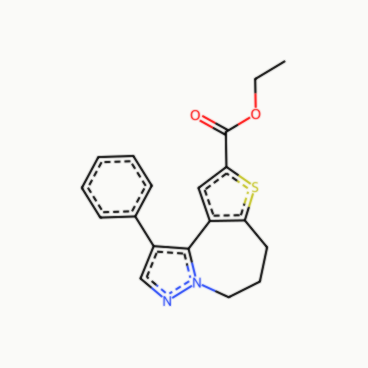 CCOC(=O)c1cc2c(s1)CCCn1ncc(-c3ccccc3)c1-2